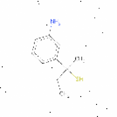 CCC(C)(S)c1cccc(N)c1